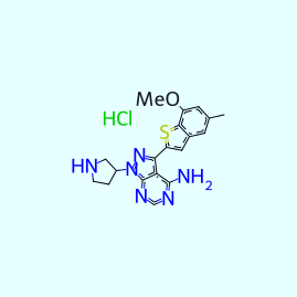 COc1cc(C)cc2cc(-c3nn(C4CCNC4)c4ncnc(N)c34)sc12.Cl